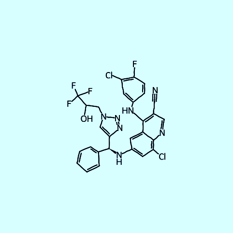 N#Cc1cnc2c(Cl)cc(N[C@@H](c3ccccc3)c3cn(CC(O)C(F)(F)F)nn3)cc2c1Nc1ccc(F)c(Cl)c1